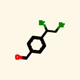 O=Cc1ccc(C(Br)CBr)cc1